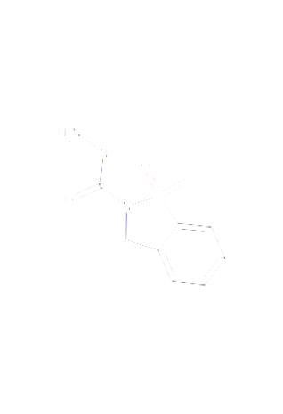 NNC(=O)N1[CH]c2ccccc2S1(=O)=O